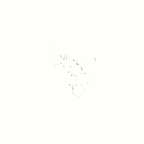 C=CCNNc1nc(O)nc(-c2ncccc2Cl)n1